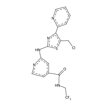 O=C(NCC(F)(F)F)c1ccnc(Nc2nc(-c3ccccn3)c(CCl)s2)c1